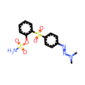 CN(C)N=Nc1ccc(S(=O)(=O)c2ccccc2OS(N)(=O)=O)cc1